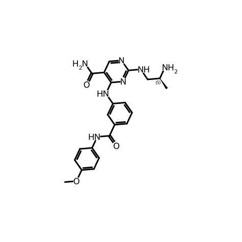 COc1ccc(NC(=O)c2cccc(Nc3nc(NC[C@H](C)N)ncc3C(N)=O)c2)cc1